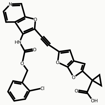 O=C(Nc1c(C#Cc2cc3cc(C4(C(=O)O)CC4)oc3o2)oc2cnccc12)OCc1ccccc1Cl